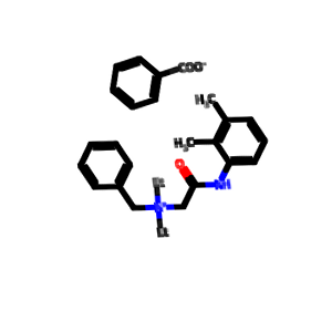 CC[N+](CC)(CC(=O)Nc1cccc(C)c1C)Cc1ccccc1.O=C([O-])c1ccccc1